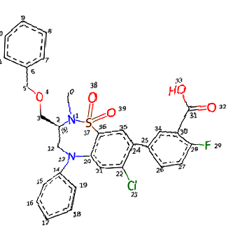 CN1[C@H](COCc2ccccc2)CN(c2ccccc2)c2cc(Cl)c(-c3ccc(F)c(C(=O)O)c3)cc2S1(=O)=O